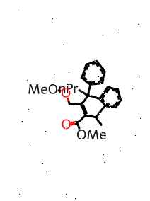 CCCC1(c2ccccc2)C(COOC)=C(C(=O)OC)C(C)c2ccccc21